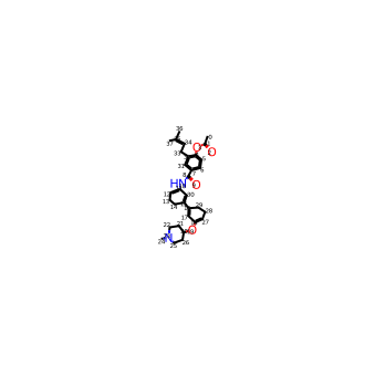 CC(=O)Oc1ccc(C(=O)NC2=CCCC(C3=CC(OC4CCN(C)CC4)=CCC3)=C2)cc1CC=C(C)C